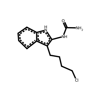 NC(=O)Nc1[nH]c2ccccc2c1CCCCCl